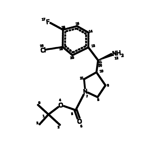 CC(C)(C)OC(=O)N1CCC([C@H](N)c2ccc(F)c(Cl)c2)C1